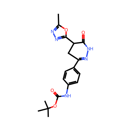 Cc1nnc(C2CC(c3ccc(NC(=O)OC(C)(C)C)cc3)=NNC2=O)o1